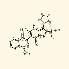 COc1ccccc1NC(=O)c1c(C)[nH]c2c(C3CCCC3)c(C(F)(F)F)nn2c1=O